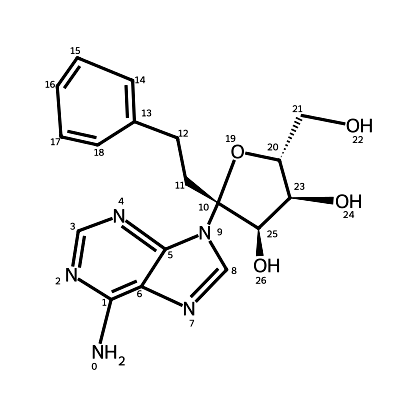 Nc1ncnc2c1ncn2[C@]1(CCc2ccccc2)O[C@H](CO)[C@@H](O)[C@H]1O